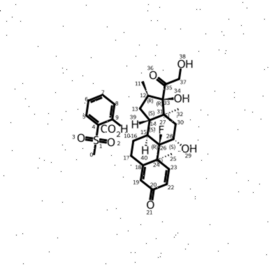 CS(=O)(=O)c1ccccc1C(=O)O.C[C@@H]1C[C@H]2[C@@H]3CCC4=CC(=O)C=C[C@]4(C)[C@@]3(F)[C@@H](O)C[C@]2(C)[C@@]1(O)C(=O)CO